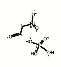 O=P(O)(O)O.O=[C]C[N+](=O)[O-]